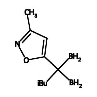 BC(B)(c1cc(C)no1)C(C)CC